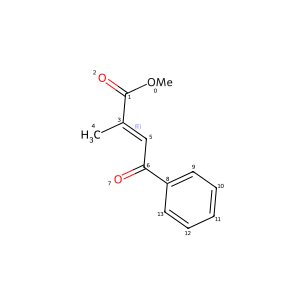 COC(=O)/C(C)=C/C(=O)c1ccccc1